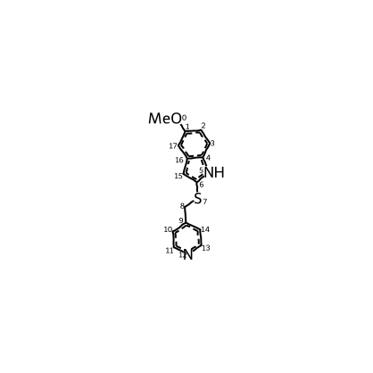 COc1ccc2[nH]c(SCc3ccncc3)cc2c1